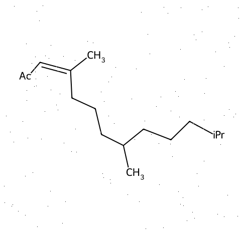 CC(=O)C=C(C)CCCC(C)CCCC(C)C